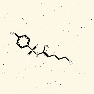 CCCN/C=C(\C)NS(=O)(=O)c1ccc(C)cc1